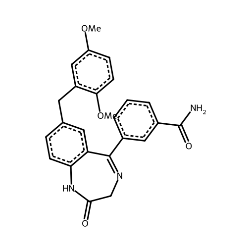 COc1ccc(OC)c(Cc2ccc3c(c2)C(c2cccc(C(N)=O)c2)=NCC(=O)N3)c1